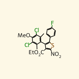 CCOC(=O)c1c([N+](=O)[O-])sc(-c2ccc(F)cc2)c1-c1c(C)c(Cl)c(OC)c(Cl)c1C